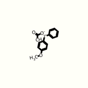 CC(=O)[O-].COc1ccc([I+]c2ccccc2)cc1